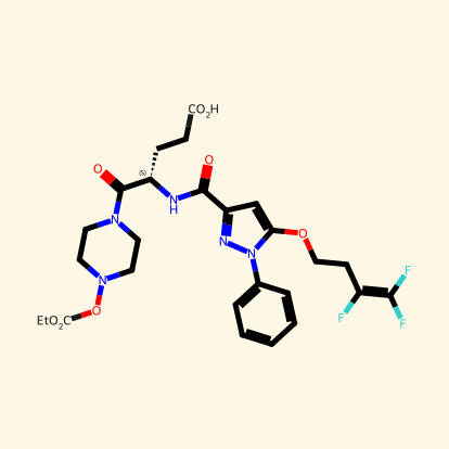 CCOC(=O)ON1CCN(C(=O)[C@H](CCC(=O)O)NC(=O)c2cc(OCCC(F)=C(F)F)n(-c3ccccc3)n2)CC1